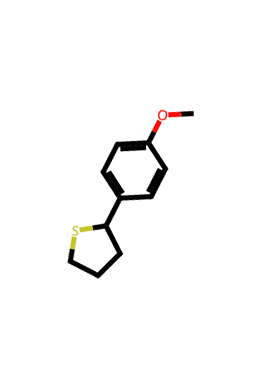 COc1ccc(C2CCCS2)cc1